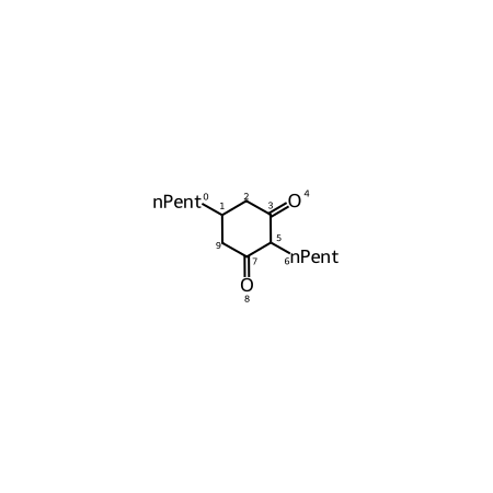 CCCCCC1CC(=O)C(CCCCC)C(=O)C1